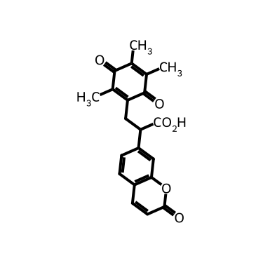 CC1=C(C)C(=O)C(CC(C(=O)O)c2ccc3ccc(=O)oc3c2)=C(C)C1=O